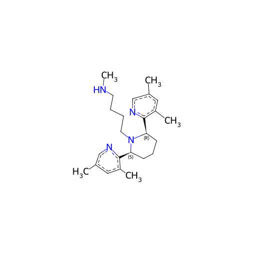 CNCCCCN1[C@@H](c2ncc(C)cc2C)CCC[C@H]1c1ncc(C)cc1C